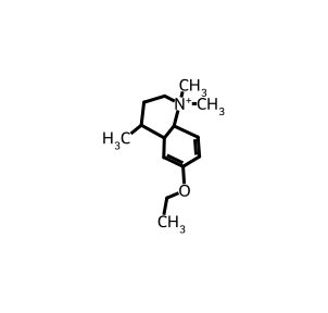 CCOC1=CC2C(C)CC[N+](C)(C)C2C=C1